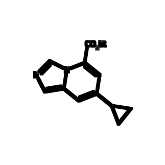 CCOC(=O)c1cc(C2CC2)cc2cncn12